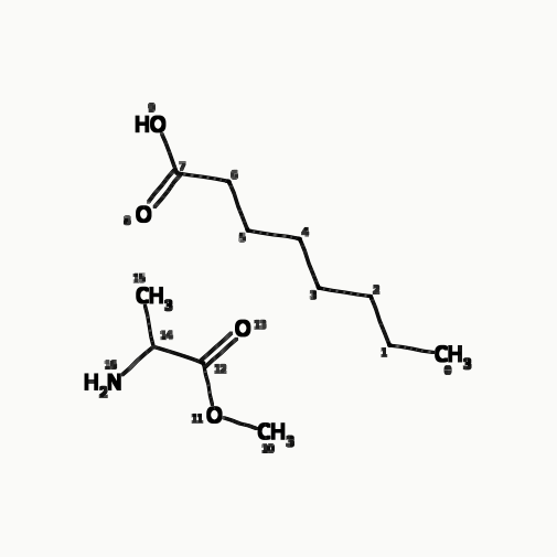 CCCCCCCC(=O)O.COC(=O)C(C)N